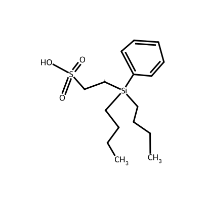 CCCC[Si]([CH]CS(=O)(=O)O)(CCCC)c1ccccc1